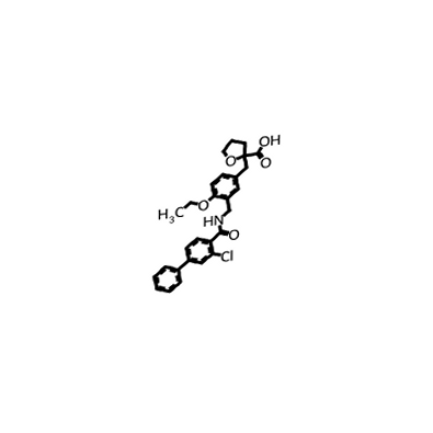 CCOc1ccc(CC2(C(=O)O)CCCO2)cc1CNC(=O)c1ccc(-c2ccccc2)cc1Cl